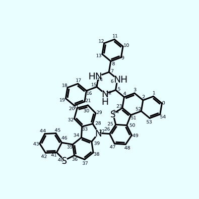 C1=CC2C=C(C3NC(c4ccccc4)NC(c4ccccc4)N3)c3sc4c(-n5c6ccccc6c6c7c(ccc65)sc5ccccc57)cccc4c3C2C=C1